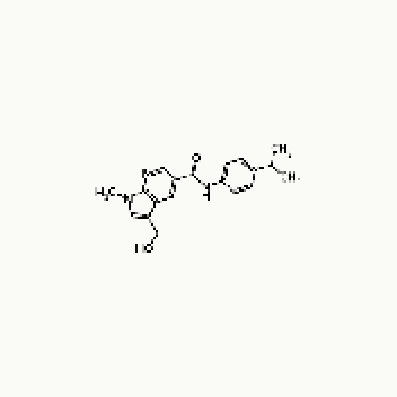 CC(C)c1ccc(NC(=O)c2cnc3c(c2)c(CO)cn3C)cc1